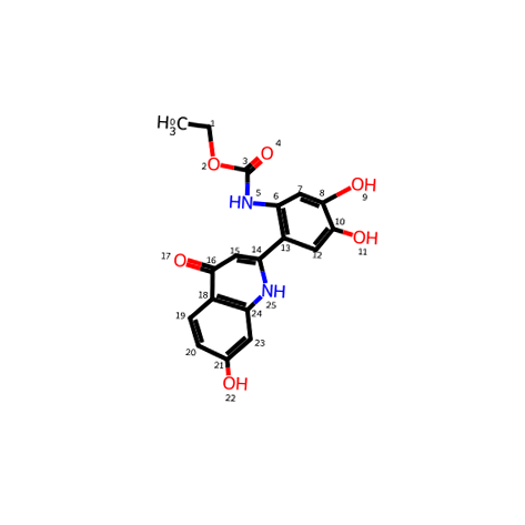 CCOC(=O)Nc1cc(O)c(O)cc1-c1cc(=O)c2ccc(O)cc2[nH]1